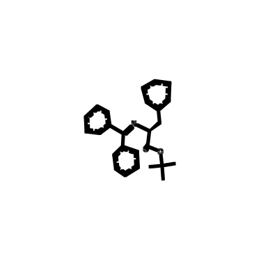 CC(C)(C)OC(=O)[C@H](Cc1ccccc1)N=C(c1ccccc1)c1ccccc1